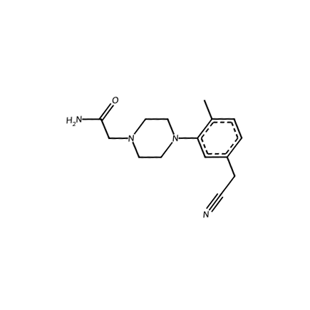 Cc1ccc(CC#N)cc1N1CCN(CC(N)=O)CC1